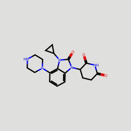 O=C1CCC(n2c(=O)n(C3CC3)c3c(N4CCNCC4)cccc32)C(=O)N1